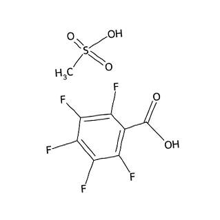 CS(=O)(=O)O.O=C(O)c1c(F)c(F)c(F)c(F)c1F